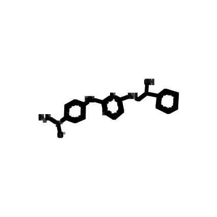 N[S+]([O-])c1ccc(Nc2nccc(NCC(O)c3ccccc3)n2)cc1